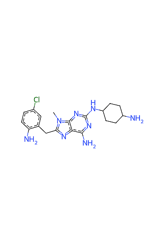 Cn1c(Cc2cc(Cl)ccc2N)nc2c(N)nc(NC3CCC(N)CC3)nc21